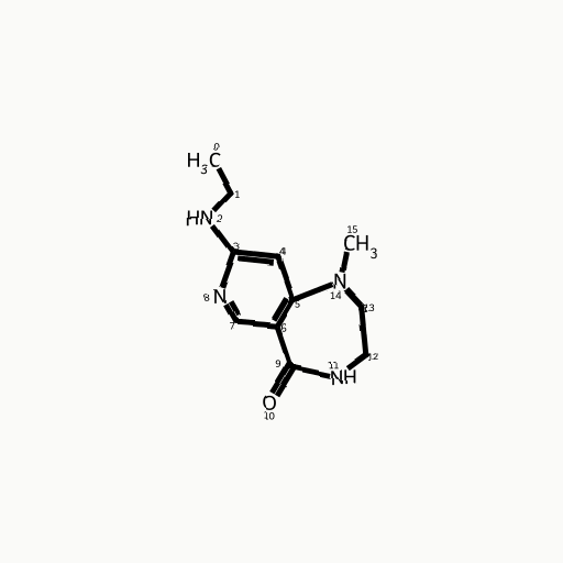 CCNc1cc2c(cn1)C(=O)NCCN2C